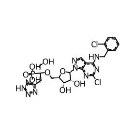 O=P(O)(O)[C@](CO)(Cc1nn[nH]n1)OC[C@H]1O[C@@H](n2ncc3c(NCc4ccccc4Cl)nc(Cl)nc32)[C@H](O)[C@@H]1O